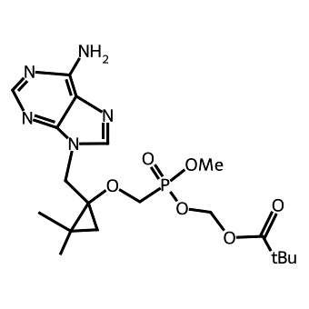 [CH2]OP(=O)(COC1(Cn2cnc3c(N)ncnc32)CC1(C)C)OCOC(=O)C(C)(C)C